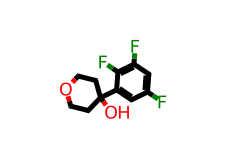 OC1(c2cc(F)cc(F)c2F)CCOCC1